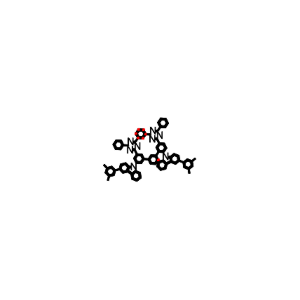 Cc1cc(C)cc(-c2ccc3c(c2)c2ccccc2n3-c2cc(-c3cccc(-c4cc(-c5nc(-c6ccccc6)nc(-c6ccccc6)n5)ccc4-n4c5ccccc5c5cc(-c6cc(C)cc(C)c6)ccc54)c3)cc(-c3nc(-c4ccccc4)nc(-c4ccccc4)n3)c2)c1